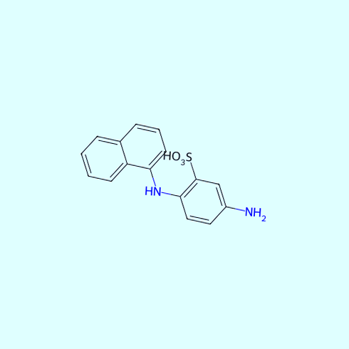 Nc1ccc(Nc2cccc3ccccc23)c(S(=O)(=O)O)c1